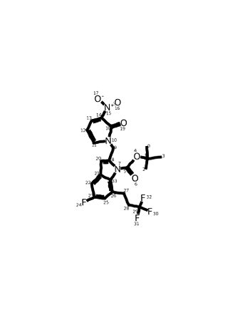 CC(C)(C)OC(=O)n1c(Cn2cccc([N+](=O)[O-])c2=O)cc2cc(F)cc(CCC(F)(F)F)c21